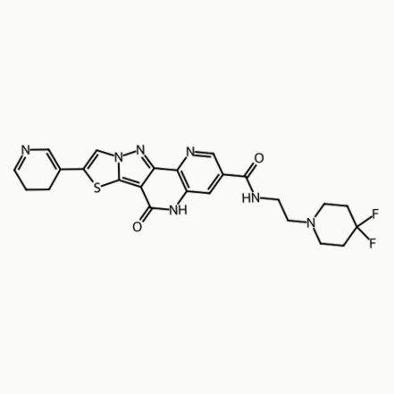 O=C(NCCN1CCC(F)(F)CC1)c1cnc2c(c1)[nH]c(=O)c1c2nn2cc(C3=CN=CCC3)sc12